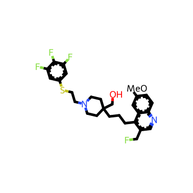 COc1ccc2ncc(CF)c(CCCC3(CO)CCN(CCSc4cc(F)c(F)c(F)c4)CC3)c2c1